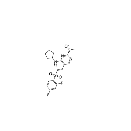 C[S+]([O-])c1ncc(/C=C/S(=O)(=O)c2ccc(F)cc2F)c(NC2CCCC2)n1